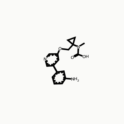 CN(C(=O)O)C1(COc2cncc(-c3cccc(N)c3)c2)CC1